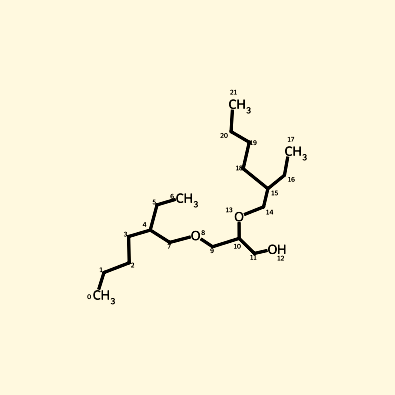 CCCCC(CC)COCC(CO)OCC(CC)CCCC